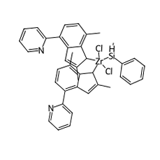 CC1=Cc2c(-c3ccccn3)ccc(C)c2[CH]1[Zr]([Cl])([Cl])([CH]1C(C)=Cc2c(-c3ccccn3)ccc(C)c21)[SiH](C)c1ccccc1